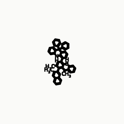 Cc1cc2ccccc2cc1-c1c(C)cc(-c2cccc3c2Nc2ccccc2C3(c2ccccc2)c2ccccc2)c2c1C(C)c1ccccc1B2